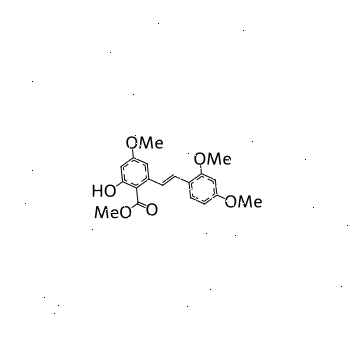 COC(=O)c1c(O)cc(OC)cc1C=Cc1ccc(OC)cc1OC